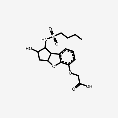 CCCCS(=O)(=O)NC1C(O)CC2Oc3c(OCC(=O)O)cccc3C21